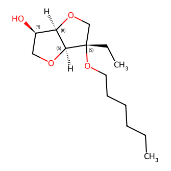 CCCCCCO[C@@]1(CC)CO[C@@H]2[C@H](O)CO[C@@H]21